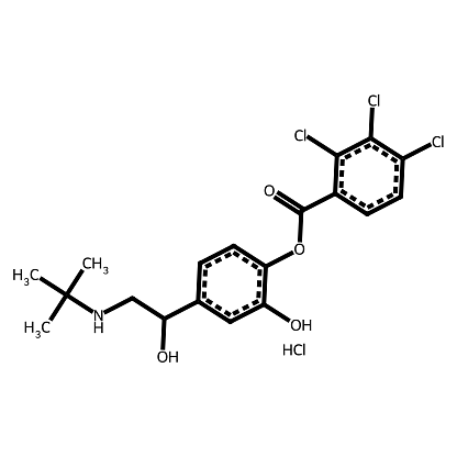 CC(C)(C)NCC(O)c1ccc(OC(=O)c2ccc(Cl)c(Cl)c2Cl)c(O)c1.Cl